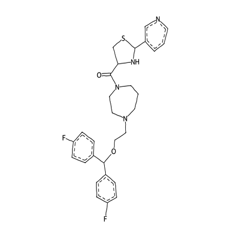 O=C(C1CSC(c2cccnc2)N1)N1CCCN(CCOC(c2ccc(F)cc2)c2ccc(F)cc2)CC1